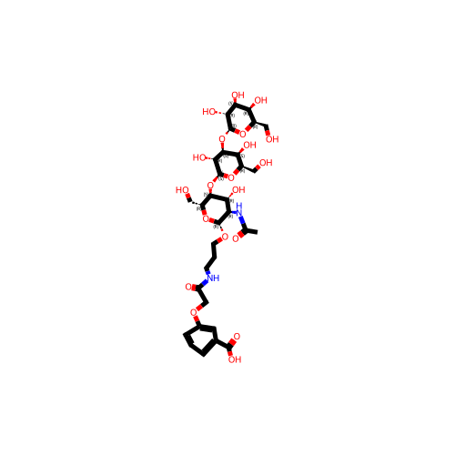 CC(=O)N[C@H]1[C@H](OCCCNC(=O)COc2cccc(C(=O)O)c2)O[C@H](CO)[C@@H](O[C@@H]2O[C@H](CO)[C@H](O)[C@H](O[C@H]3O[C@H](CO)[C@H](O)[C@H](O)[C@H]3O)[C@H]2O)[C@@H]1O